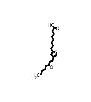 CCCCCC(=O)C=Cc1csc(CCCCCCCC(=O)O)c1